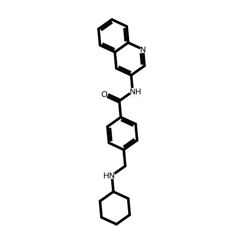 O=C(Nc1cnc2ccccc2c1)c1ccc(CNC2CCCCC2)cc1